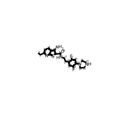 CCc1ccc2c(N)c(C(=O)NCCc3cc(F)c(N4CCNCC4)cc3F)sc2n1